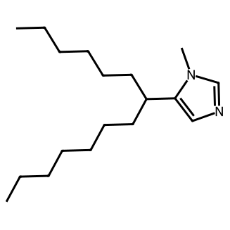 CCCCCCCC(CCCCCC)c1cncn1C